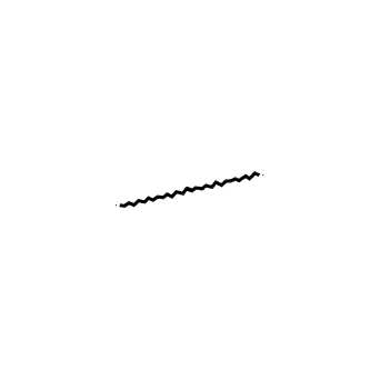 [CH2]CCCCCCCCCCCCC/C=C/CCCCCCCCCCCCC[CH2]